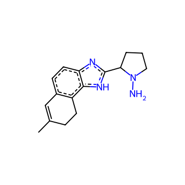 CC1=Cc2ccc3nc(C4CCCN4N)[nH]c3c2CC1